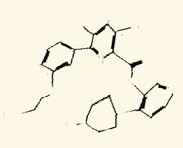 CCCOc1cccc(-c2nc(C(=O)Nc3cnccc3[C@H]3CC[C@@H](O)CC3)c(N)cc2C)c1